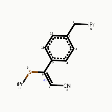 CC(C)Cc1ccc(/C(=C\C#N)SC(C)C)cc1